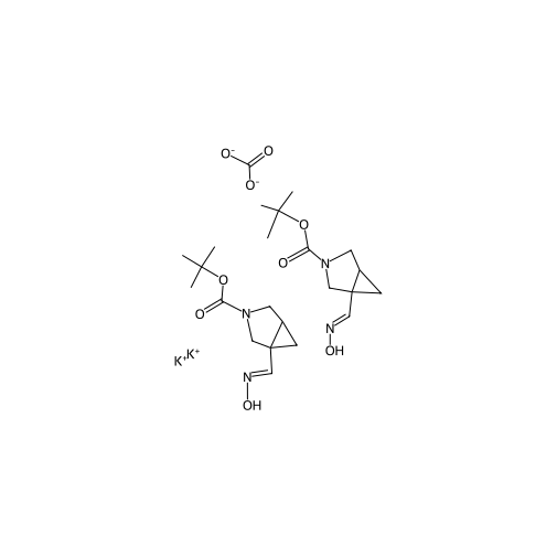 CC(C)(C)OC(=O)N1CC2CC2(C=NO)C1.CC(C)(C)OC(=O)N1CC2CC2(C=NO)C1.O=C([O-])[O-].[K+].[K+]